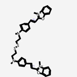 CN(CCSSCCN(C)c1ccc(/C=C/c2oc3ccccc3[n+]2C)cc1)c1ccc(/C=C/c2oc3ccccc3[n+]2C)cc1